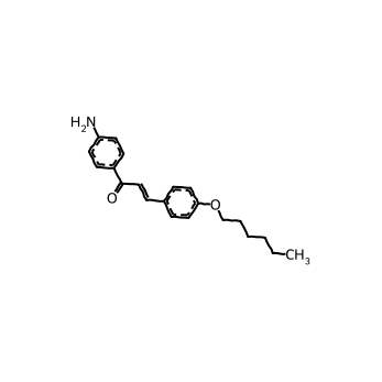 CCCCCCOc1ccc(C=CC(=O)c2ccc(N)cc2)cc1